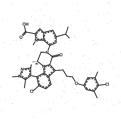 Cc1cc(OCCCc2c3n(c4c(-c5c(C)nn(C)c5C)c(Cl)ccc24)[C@H](C)CN(c2cc(C(C)C)cc4cc(C(=O)O)n(C)c24)C3=O)cc(C)c1Cl